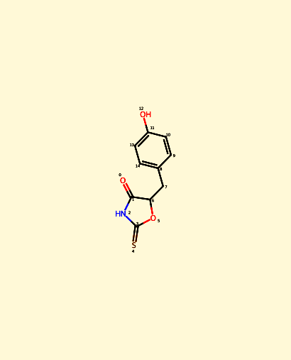 O=C1NC(=S)OC1Cc1ccc(O)cc1